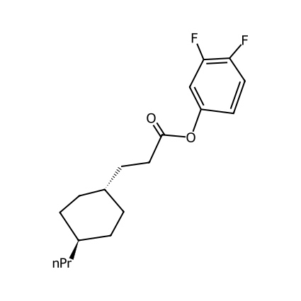 CCC[C@H]1CC[C@H](CCC(=O)Oc2ccc(F)c(F)c2)CC1